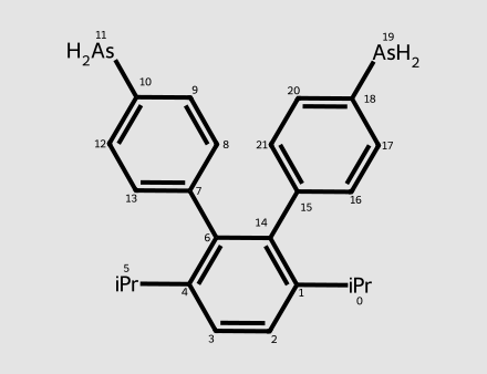 CC(C)c1ccc(C(C)C)c(-c2ccc([AsH2])cc2)c1-c1ccc([AsH2])cc1